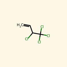 C=CC(Cl)C(Cl)(Cl)Cl